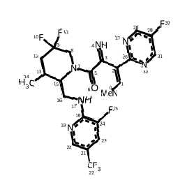 CN/C=C(\C(=N)C(=O)N1CC(F)(F)CC(C)C1CNc1ncc(C(F)(F)F)cc1F)c1ncc(F)cn1